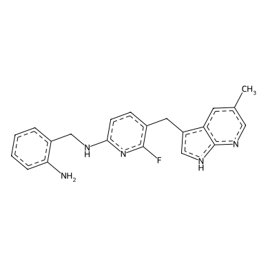 Cc1cnc2[nH]cc(Cc3ccc(NCc4ccccc4N)nc3F)c2c1